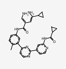 Cc1ccc(NC(=O)C(/C=C(\N)C2CC2)=C/N)cc1-c1ccnc(-c2ccnc(NC(=O)C3CC3)c2)n1